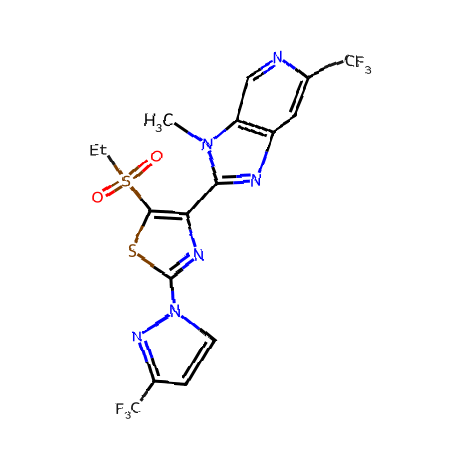 CCS(=O)(=O)c1sc(-n2ccc(C(F)(F)F)n2)nc1-c1nc2cc(C(F)(F)F)ncc2n1C